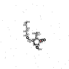 CN1C(=O)[C@@H](Cc2ccc(O)cc2)NC(=O)CNC(=O)[C@H](Cc2ccc3ccccc3c2)N(C)C(=O)[C@H](CCCNC(=N)N)NC(=O)[C@H]1CCCNC(=O)c1ccc(NC(=O)CCNC(=O)CNCCNCC(=O)O)cc1